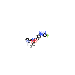 C[C@H]1C2=CNN(c3ccc(F)cc3)C2=CC2=C1[C@@H](CN(C[CH]c1ccccn1)S(=O)(=O)CC(F)(F)F)CC2